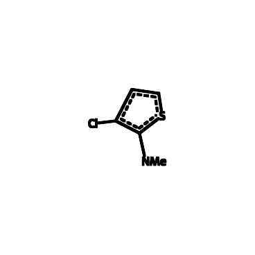 CNc1sccc1Cl